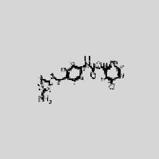 NC1=N[C@@H](CCc2ccc(NC(=O)Oc3cc(Cl)ccn3)cc2)CO1